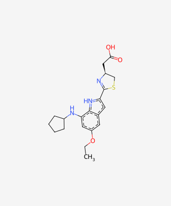 CCOc1cc(NC2CCCC2)c2[nH]c(C3=N[C@@H](CC(=O)O)CS3)cc2c1